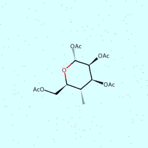 CC(=O)OC[C@H]1O[C@H](OC(C)=O)[C@@H](OC(C)=O)[C@@H](OC(C)=O)[C@@H]1C